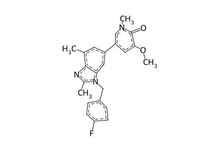 COc1cc(-c2cc(C)c3nc(C)n(Cc4ccc(F)cc4)c3c2)cn(C)c1=O